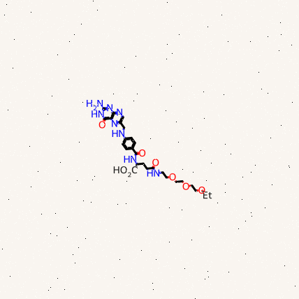 CCOCCOCCOCCNC(=O)CCC(NC(=O)c1ccc(NCc2cnc3nc(N)[nH]c(=O)c3n2)cc1)C(=O)O